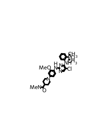 CNC(=O)C1CCN(c2ccc(Nc3ncc(Cl)c(Nc4ccccc4P(C)(C)=O)n3)c(OC)c2)CC1